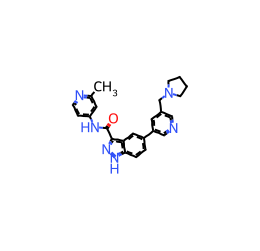 Cc1cc(NC(=O)c2n[nH]c3ccc(-c4cncc(CN5CCCC5)c4)cc23)ccn1